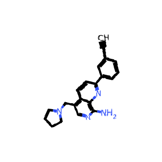 C#Cc1cccc(-c2ccc3c(CN4CCCC4)cnc(N)c3n2)c1